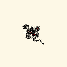 CCO[Si](CCCS(S)(SS)C(C=C(C)CCCC(C)CCCCC(C)CCCC(C)CCCC(C)C)=C(C(C)=C(S(S)(CCC[Si](OCC)(OCC)OCC)SS)S(S)(CCC[Si](OCC)(OCC)OCC)SS)S(S)(CCC[Si](OCC)(OCC)OCC)SS)(OCC)OCC